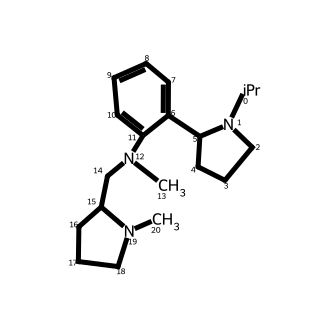 CC(C)N1CCCC1c1ccccc1N(C)CC1CCCN1C